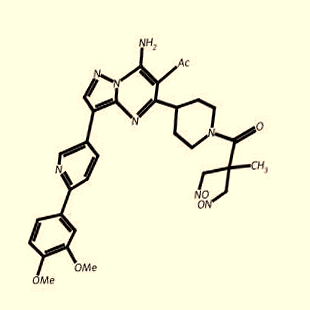 COc1ccc(-c2ccc(-c3cnn4c(N)c(C(C)=O)c(C5CCN(C(=O)C(C)(CN=O)CN=O)CC5)nc34)cn2)cc1OC